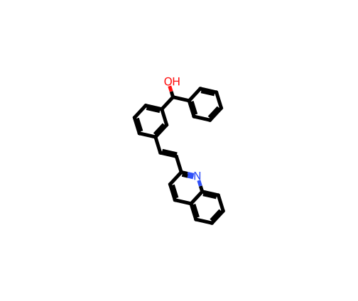 OC(c1ccccc1)c1cccc(/C=C/c2ccc3ccccc3n2)c1